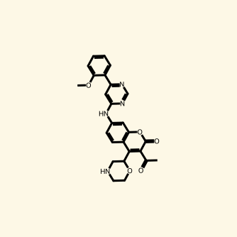 COc1ccccc1-c1cc(Nc2ccc3c(C4CNCCO4)c(C(C)=O)c(=O)oc3c2)ncn1